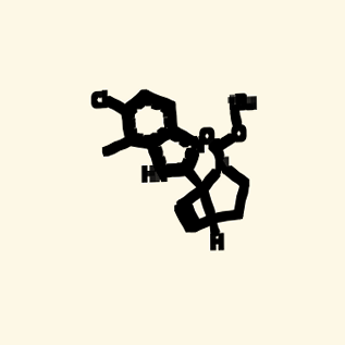 Cc1c(Cl)ccc2nc([C@]34C#C[C@H]3CCN4C(=O)OC(C)(C)C)[nH]c12